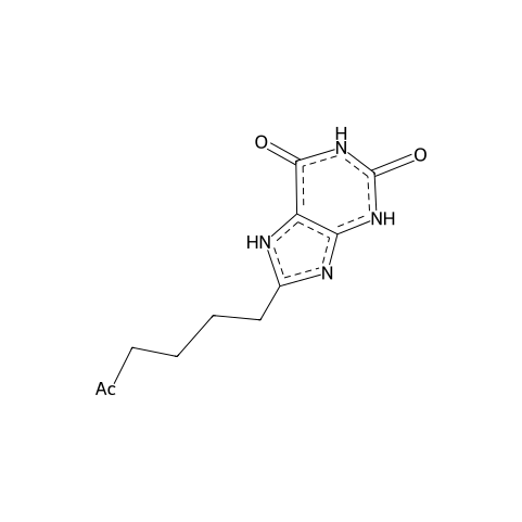 CC(=O)CCCCc1nc2[nH]c(=O)[nH]c(=O)c2[nH]1